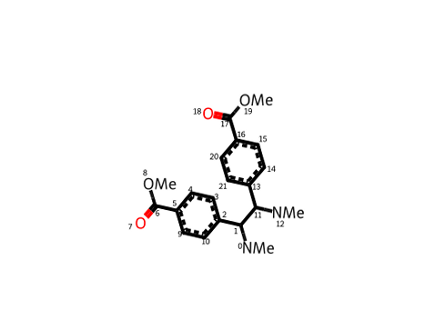 CNC(c1ccc(C(=O)OC)cc1)C(NC)c1ccc(C(=O)OC)cc1